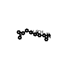 CC1(C)c2cc(-c3ccc(-c4cccc(-c5ccc6c(c5)c5ccccc5n6-c5ccccc5)c4)cc3)ccc2-c2ccc(-c3ccc4c(c3)c3ccccc3c3nccnc43)cc21